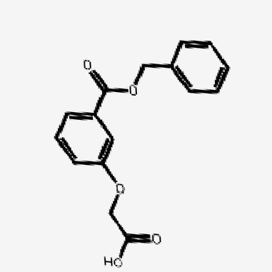 O=C(O)COc1cccc(C(=O)OCc2ccccc2)c1